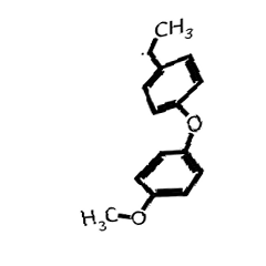 C[CH]c1ccc(Oc2ccc(OC)cc2)cc1